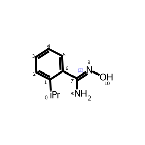 CC(C)c1ccccc1/C(N)=N/O